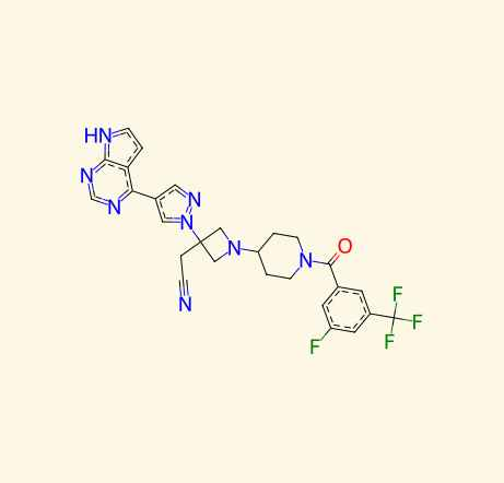 N#CCC1(n2cc(-c3ncnc4[nH]ccc34)cn2)CN(C2CCN(C(=O)c3cc(F)cc(C(F)(F)F)c3)CC2)C1